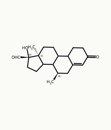 C[C@@H]1CC2=CC(=O)CCC2C2CC[C@@]3(C)C(CC[C@@]3(O)C=O)C21